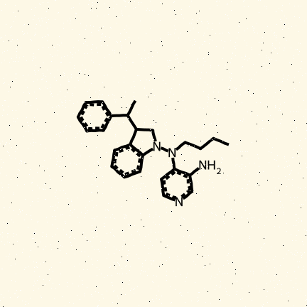 CCCCN(c1ccncc1N)N1CC(C(C)c2ccccc2)c2ccccc21